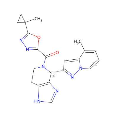 Cc1cccn2nc([C@@H]3c4nc[nH]c4CCN3C(=O)c3nnc(C4(C)CC4)o3)cc12